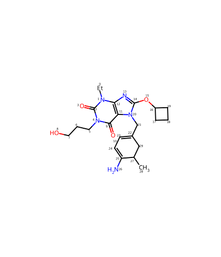 CCn1c(=O)n(CCCO)c(=O)c2c1nc(OC1CCC1)n2CC1=CC=C(N)C(C)C1